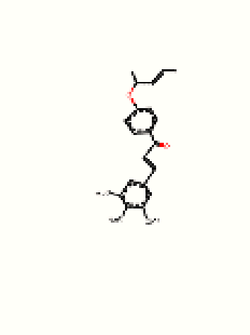 CC=CC(C)Oc1ccc(C(=O)C=Cc2cc(OC)c(OC)c(OC)c2)cc1